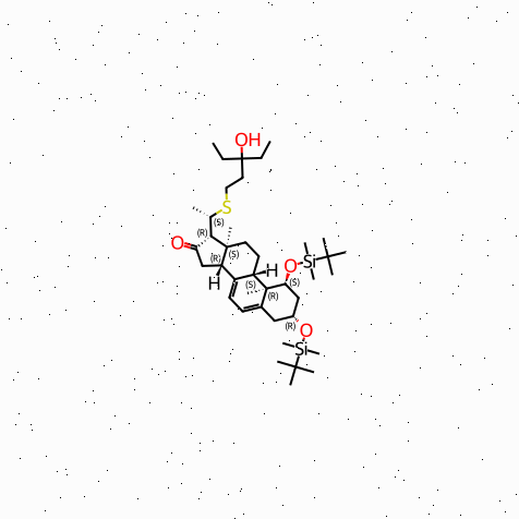 CCC(O)(CC)CCS[C@@H](C)[C@H]1C(=O)C[C@H]2C3=CC=C4C[C@@H](O[Si](C)(C)C(C)(C)C)C[C@H](O[Si](C)(C)C(C)(C)C)[C@]4(C)[C@H]3CC[C@]12C